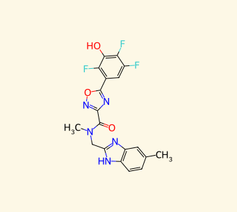 Cc1ccc2[nH]c(CN(C)C(=O)c3noc(-c4cc(F)c(F)c(O)c4F)n3)nc2c1